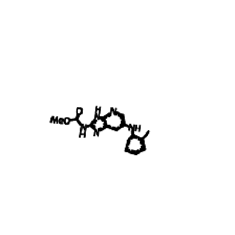 COC(=O)Nc1nc2cc(Nc3ccccc3C)cnc2[nH]1